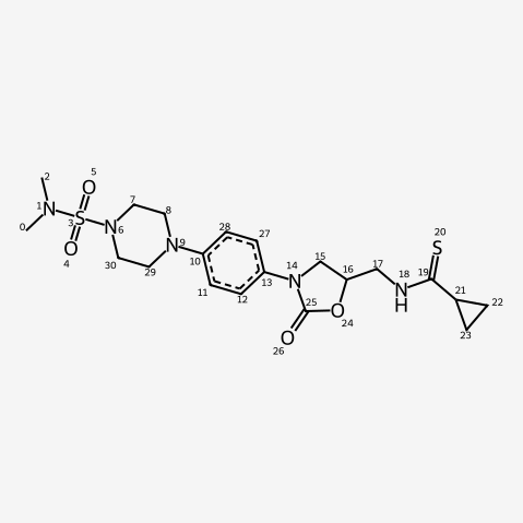 CN(C)S(=O)(=O)N1CCN(c2ccc(N3CC(CNC(=S)C4CC4)OC3=O)cc2)CC1